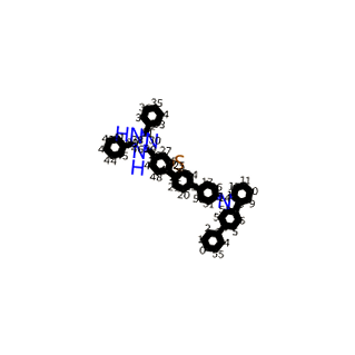 c1ccc(-c2ccc3c4ccccc4n(-c4ccc(-c5ccc6c(c5)sc5cc(C7=NC(c8ccccc8)NC(c8ccccc8)N7)ccc56)cc4)c3c2)cc1